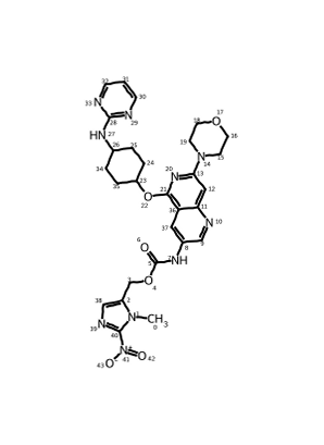 Cn1c(COC(=O)Nc2cnc3cc(N4CCOCC4)nc(OC4CCC(Nc5ncccn5)CC4)c3c2)cnc1[N+](=O)[O-]